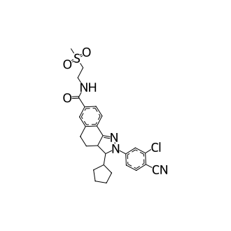 CS(=O)(=O)CCNC(=O)c1ccc2c(c1)CCC1C2=NN(c2ccc(C#N)c(Cl)c2)C1C1CCCC1